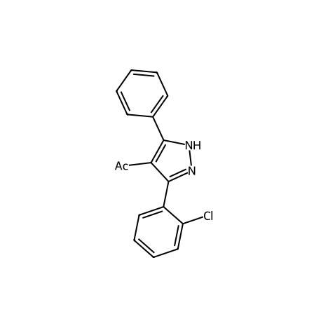 CC(=O)c1c(-c2ccccc2Cl)n[nH]c1-c1ccccc1